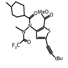 COC(=O)c1sc(C#CC(C)(C)C)cc1N(C(=O)C1CCC(C)CC1)N(C)C(=O)C(F)(F)F